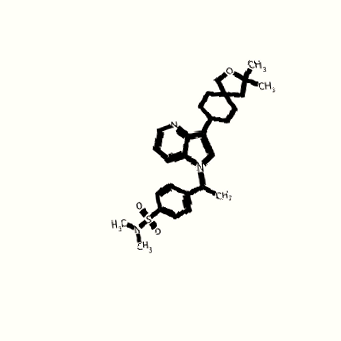 CC(c1ccc(S(=O)(=O)N(C)C)cc1)n1cc(C2CCC3(CC2)COC(C)(C)C3)c2ncccc21